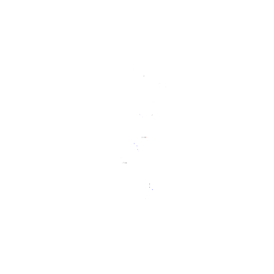 COC(=O)[C@@H]1C[C@H](N(C)C(C)C)CC[C@@H]1N1CC[C@H](NC(=O)c2cccc(C(F)(F)F)c2)C1=O